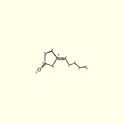 CCCCC=C1CCC(=O)C1